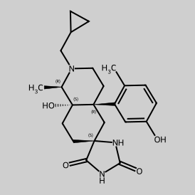 Cc1ccc(O)cc1[C@]12CCN(CC3CC3)[C@H](C)[C@]1(O)CC[C@@]1(C2)NC(=O)NC1=O